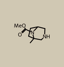 COC(=O)N1C2CCC1(C)CNC2